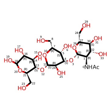 CC(=O)N[C@H]1[C@H](O[C@H]2[C@@H](O)[C@@H](CO)O[C@@H](O[C@H]3[C@H](O)[C@@H](O)C(O)O[C@@H]3CO)[C@@H]2O)O[C@H](CO)[C@@H](O)[C@@H]1O